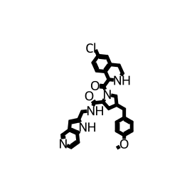 COc1ccc(CC2CC(C(=O)NCc3cc4cnccc4[nH]3)N(C(=O)C3NCCc4cc(Cl)ccc43)C2)cc1